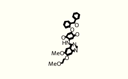 COCCOc1cc2ncnc(NC3=CC(=O)C(Oc4ccccc4C(=O)c4ccccc4)=CC3=O)c2cc1OC